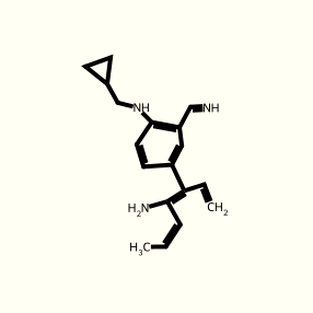 C=C/C(=C(N)\C=C/C)c1ccc(NCC2CC2)c(C=N)c1